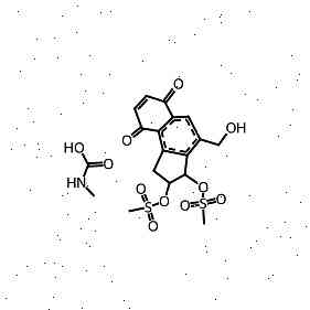 CNC(=O)O.CS(=O)(=O)OC1Cc2c3c(cc(CO)c2C1OS(C)(=O)=O)C(=O)C=CC3=O